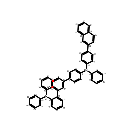 Cc1ccc(-c2ccc(N(c3ccccc3)c3ccc(-c4ccc5ccccc5c4)cc3)cc2)cc1-c1ccccc1N(c1ccccc1)c1ccccc1